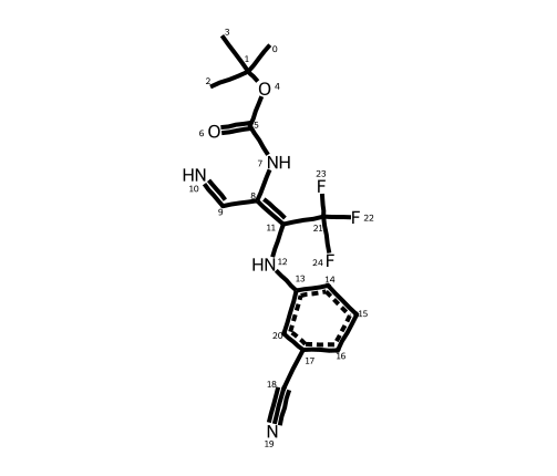 CC(C)(C)OC(=O)N/C(C=N)=C(/Nc1cccc(C#N)c1)C(F)(F)F